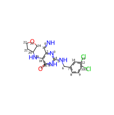 N=Cc1nc(NCc2ccc(Cl)c(Cl)c2)[nH]c(=O)c1NC1CCOC1